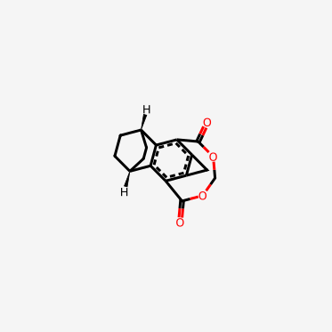 O=C1OCOC(=O)c2c3c(c1c1c2[C@H]2CC[C@@H]1CC2)C3